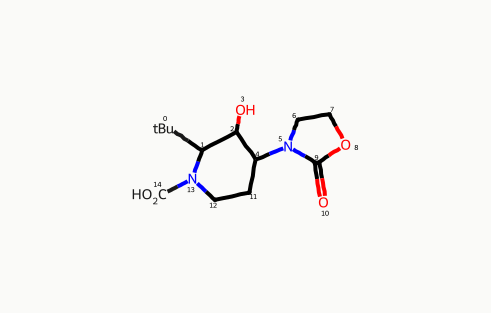 CC(C)(C)C1C(O)C(N2CCOC2=O)CCN1C(=O)O